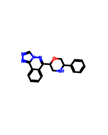 c1ccc(C2COC(c3nn4cnnc4c4ccccc34)CN2)cc1